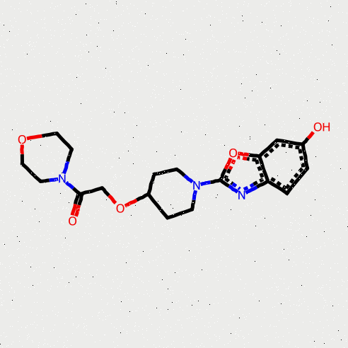 O=C(COC1CCN(c2nc3ccc(O)cc3o2)CC1)N1CCOCC1